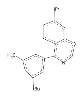 Cc1cc(-c2ncnc3cc(C(C)C)ccc23)cc(C(C)(C)C)c1